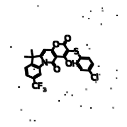 CC1(C)c2ccc(C(F)(F)F)cc2-n2c1cc1oc(=O)c(Sc3ccc(Cl)cc3)c(O)c1c2=O